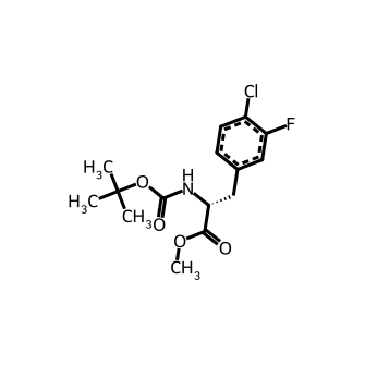 COC(=O)[C@@H](Cc1ccc(Cl)c(F)c1)NC(=O)OC(C)(C)C